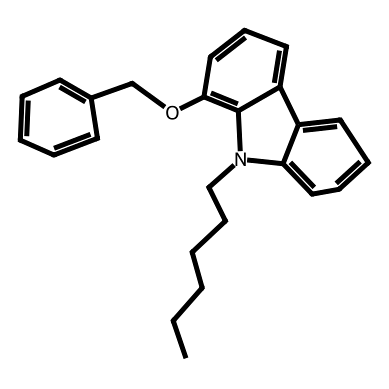 CCCCCCn1c2ccccc2c2cccc(OCc3ccccc3)c21